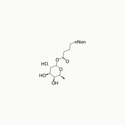 CCCCCCCCCCCCC(=O)OC1O[C@@H](C)[C@@H](O)[C@@H](O)[C@@H]1O